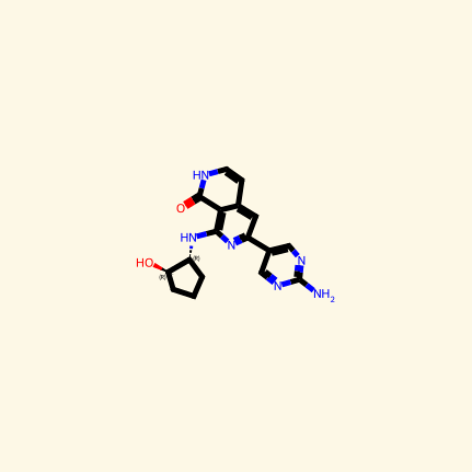 Nc1ncc(-c2cc3cc[nH]c(=O)c3c(N[C@@H]3CCC[C@H]3O)n2)cn1